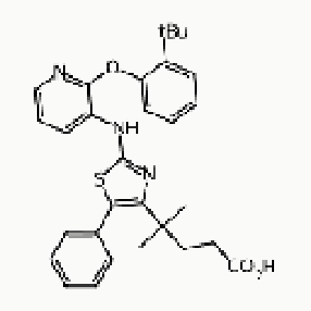 CC(C)(C)c1ccccc1Oc1ncccc1Nc1nc(C(C)(C)CCC(=O)O)c(-c2ccccc2)s1